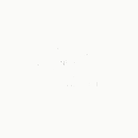 C[C@H](O)C(=O)N1CCCC1